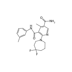 Cc1cccc(NC(=O)c2c(N3CCCC(F)(F)CC3)ncc(C(N)=O)c2C)c1